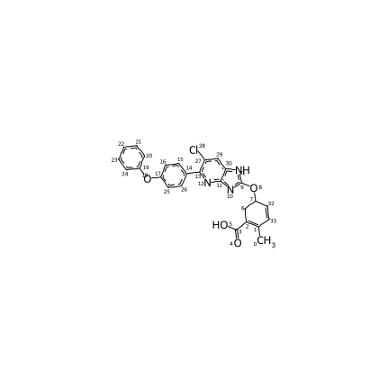 CC1=C(C(=O)O)CC(Oc2nc3nc(-c4ccc(Oc5ccccc5)cc4)c(Cl)cc3[nH]2)C=C1